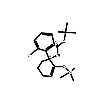 CC(C)(C)OC(=O)N[C@]1(c2ccccc2Cl)CCCC=C1O[Si](C)(C)C